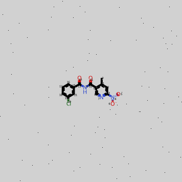 Cc1cc([N+](=O)[O-])ncc1C(=O)NC(=O)c1cccc(Cl)c1